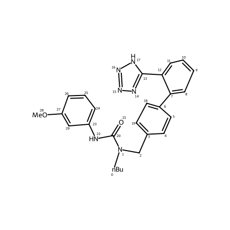 CCCCN(Cc1ccc(-c2ccccc2-c2nnn[nH]2)cc1)C(=O)Nc1cccc(OC)c1